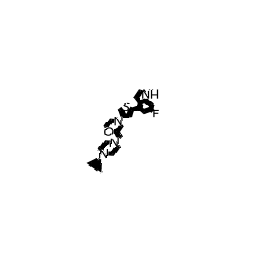 Fc1cc(-c2cc(N3CCOC(CN4CCN(C5CC5)CC4)C3)cs2)c2cc[nH]c2c1